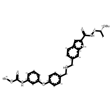 CC(C)CO[C@H](C)ONC(=O)c1cc2ccc(CNCc3ccc(Oc4cc[c]c(NC(=O)OC(C)(C)C)c4)cc3)cc2s1